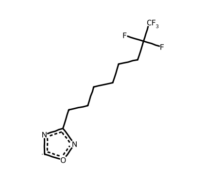 FC(F)(F)C(F)(F)CCCCCCc1n[c]on1